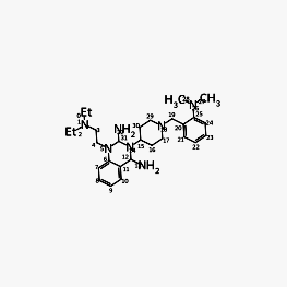 CCN(CC)CCN1c2ccccc2C(N)N(C2CCN(Cc3ccccc3N(C)C)CC2)C1N